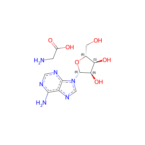 NCC(=O)O.Nc1ncnc2c1ncn2[C@@H]1O[C@H](CO)[C@@H](O)[C@H]1O